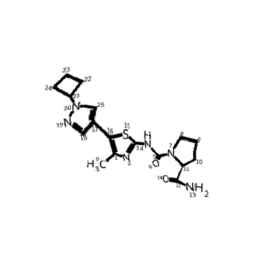 Cc1nc(NC(=O)N2CCC[C@H]2C(N)=O)sc1-c1cnn(C2CCC2)c1